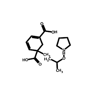 CC(C)O[SiH]1CCCC1.CC1(C(=O)O)C=CC=C(C(=O)O)C1